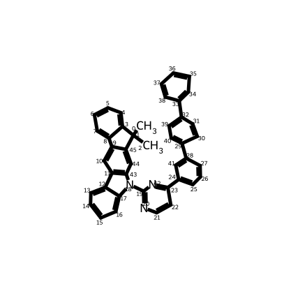 CC1(C)c2ccccc2-c2cc3c4ccccc4n(-c4nccc(-c5cccc(-c6ccc(-c7ccccc7)cc6)c5)n4)c3cc21